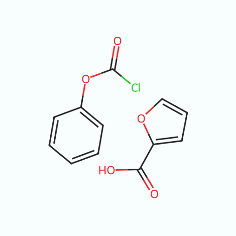 O=C(Cl)Oc1ccccc1.O=C(O)c1ccco1